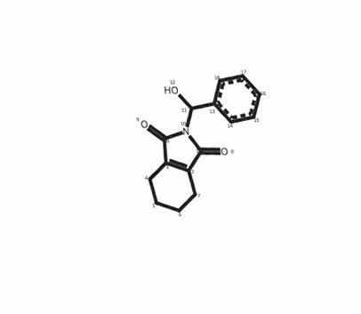 O=C1C2=C(CCCC2)C(=O)N1C(O)c1ccccc1